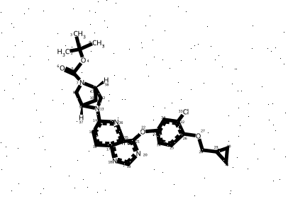 CC(C)(C)OC(=O)N1C[C@@H]2C[C@H]1CN2c1ccc2ncnc(Oc3ccc(OCC4CC4)c(Cl)c3)c2n1